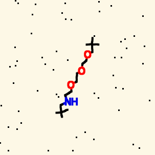 CC(C)(C)CNCCOCCOCCOCC(C)(C)C